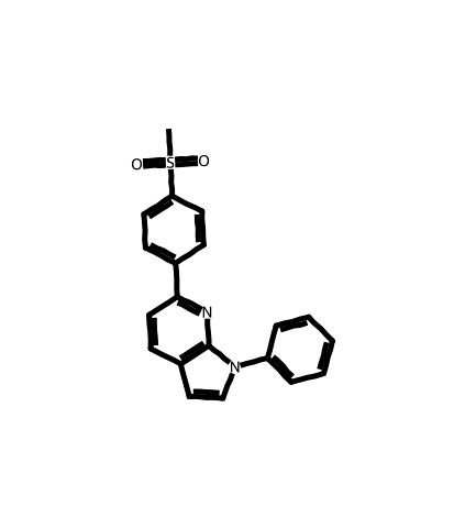 CS(=O)(=O)c1ccc(-c2ccc3ccn(-c4ccccc4)c3n2)cc1